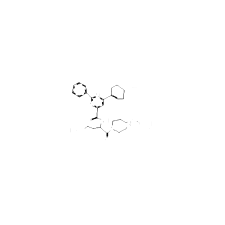 CCOC(=O)ON1CCN(C(=O)C(CCC(=O)O)NC(=O)c2cc(C3=CC[C@@H](O)CC3)nc(-c3ccccc3)n2)CC1